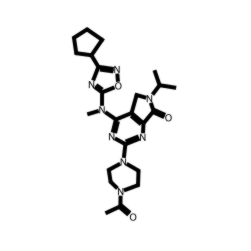 CC(=O)N1CCN(c2nc3c(c(N(C)c4nc(C5CCCC5)no4)n2)CN(C(C)C)C3=O)CC1